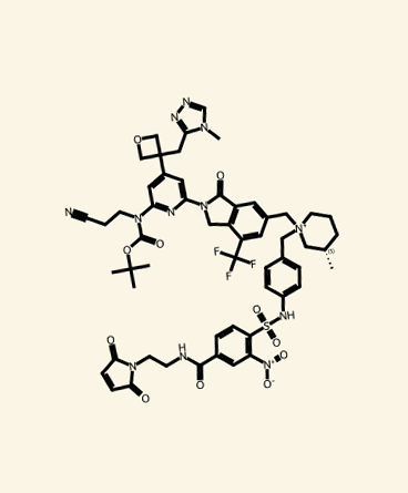 C[C@H]1CCC[N+](Cc2ccc(NS(=O)(=O)c3ccc(C(=O)NCCN4C(=O)C=CC4=O)cc3[N+](=O)[O-])cc2)(Cc2cc3c(c(C(F)(F)F)c2)CN(c2cc(C4(Cc5nncn5C)COC4)cc(N(CCC#N)C(=O)OC(C)(C)C)n2)C3=O)C1